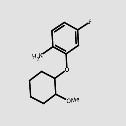 COC1CCCCC1Oc1cc(F)ccc1N